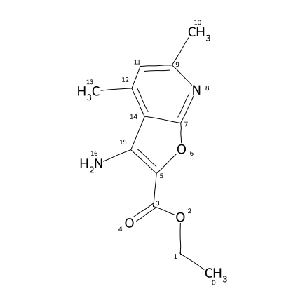 CCOC(=O)c1oc2nc(C)cc(C)c2c1N